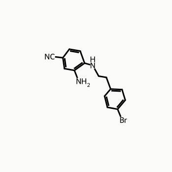 N#Cc1ccc(NCCc2ccc(Br)cc2)c(N)c1